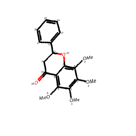 COc1c(OC)c(OC)c2c(c1OC)OC(c1ccccc1)CC2=O